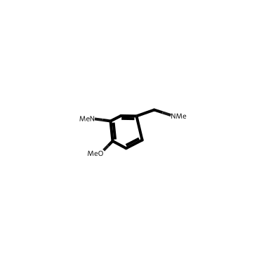 CNCc1ccc(OC)c(NC)c1